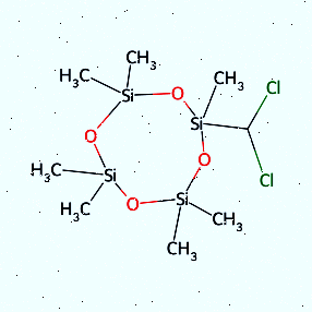 C[Si]1(C)O[Si](C)(C)O[Si](C)(C(Cl)Cl)O[Si](C)(C)O1